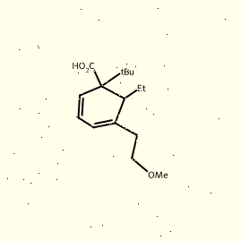 CCC1C(CCOC)=CC=CC1(C(=O)O)C(C)(C)C